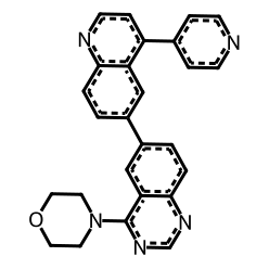 c1cc(-c2ccnc3ccc(-c4ccc5ncnc(N6CCOCC6)c5c4)cc23)ccn1